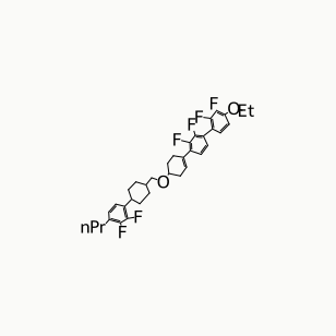 CCCc1ccc(C2CCC(COC3CC=C(c4ccc(-c5ccc(OCC)c(F)c5F)c(F)c4F)CC3)CC2)c(F)c1F